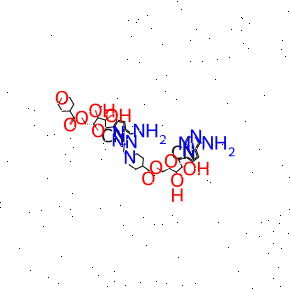 N#C[C@@]1(c2ccc3c(N)ncnn23)O[C@H](COC(=O)C2CCN(Cc3nc(N)c4ccc([C@]5(C#N)O[C@H](COC(=O)C6CCOCC6)[C@@H](O)[C@H]5O)n4n3)CC2)[C@@H](O)[C@H]1O